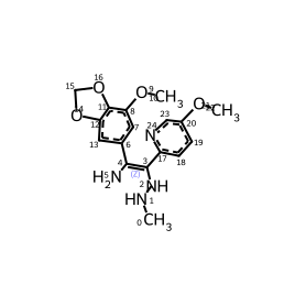 CNN/C(=C(\N)c1cc(OC)c2c(c1)OCO2)c1ccc(OC)cn1